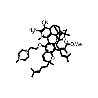 COC(=O)/C(C)=C\CC12OC(C)(C)C3CC(C1=O)C1C(C#N)=C(N)N(C)C4=C1C32Oc1c(CC=C(C)C)c2c(c(OCCN3CCN(C)CC3)c14)C=CC(C)(CCC=C(C)C)O2